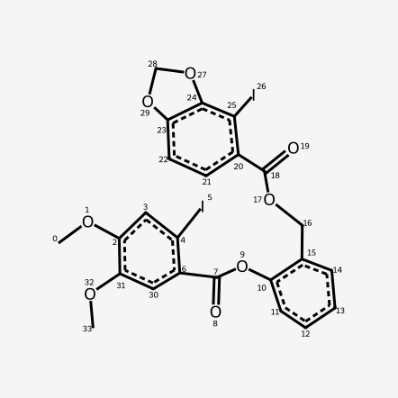 COc1cc(I)c(C(=O)Oc2ccccc2COC(=O)c2ccc3c(c2I)OCO3)cc1OC